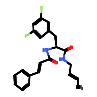 C/C=C/CNC(=O)[C@H](Cc1cc(F)cc(F)c1)NC(=O)/C=C/c1ccccc1